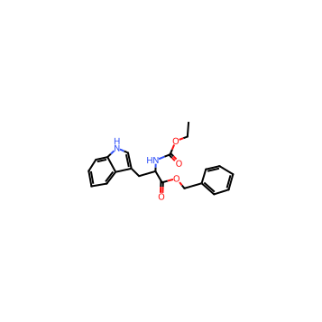 CCOC(=O)NC(Cc1c[nH]c2ccccc12)C(=O)OCc1ccccc1